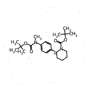 CN(C(=O)OC(C)(C)C)c1ccc([C@@H]2CCCCN2C(=O)OC(C)(C)C)cc1